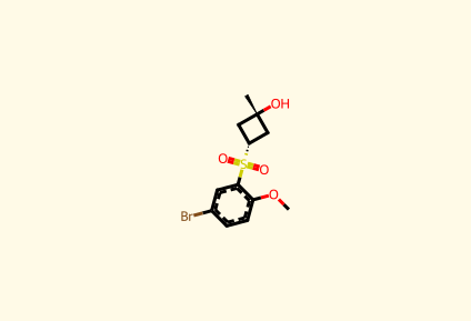 COc1ccc(Br)cc1S(=O)(=O)[C@H]1C[C@@](C)(O)C1